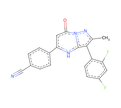 Cc1nn2c(=O)cc(-c3ccc(C#N)cc3)[nH]c2c1-c1ccc(F)cc1F